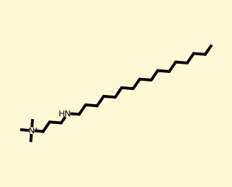 CCCCCCCCCCCCCCCCNCCC[N+](C)(C)C